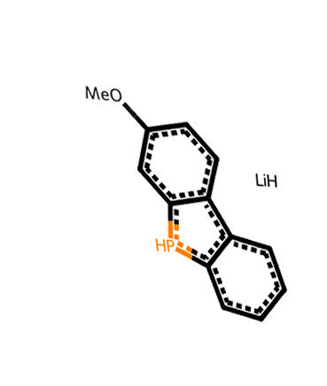 COc1ccc2c(c1)[pH]c1ccccc12.[LiH]